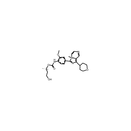 COc1cc(C2=NC(C3CCOCC3)=C3C=NC=C[N+]23C)ccc1NC(=O)O[C@@H](C)CCO